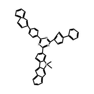 C[Si]1(C)c2cc(-c3nc(-c4ccc(-c5ccccc5)cc4)nc(-c4ccc(-c5ccc6ccccc6c5)cc4)n3)ccc2-c2cc3ccccc3cc21